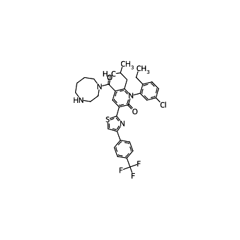 CCc1ccc(Cl)cc1-n1c(CC(C)C)c(C(=O)N2CCCCNCC2)cc(-c2nc(-c3ccc(C(F)(F)F)cc3)cs2)c1=O